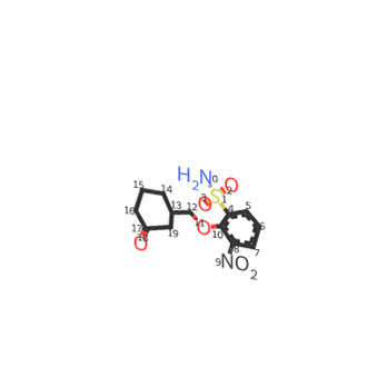 NS(=O)(=O)c1cccc([N+](=O)[O-])c1OCC1CCCC(=O)C1